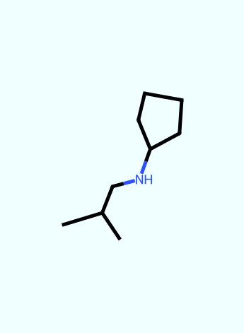 CC(C)CNC1CCCC1